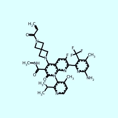 C=CC(=O)N1CC2(C1)CN(c1c(C(=O)NC)c(=O)n(-c3c(C)ccnc3C(C)C)c3nc(-c4nc(N)cc(C)c4C(F)(F)F)c(F)cc13)C2